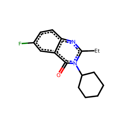 CCc1nc2ccc(F)cc2c(=O)n1C1CCCCC1